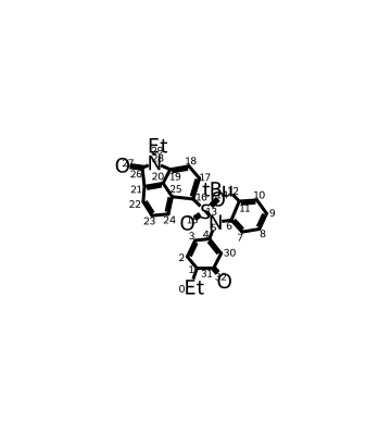 CCC1C=CC(N(c2ccccc2C(C)(C)C)S(=O)(=O)c2ccc3c4c(cccc24)C(=O)N3CC)=CC1=O